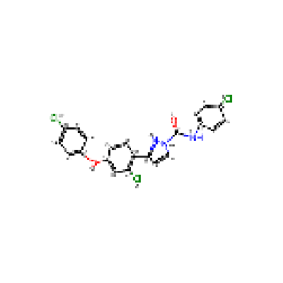 O=C(Nc1ccc(Cl)cc1)n1ccc(-c2ccc(Oc3ccc(Cl)cc3)cc2Cl)n1